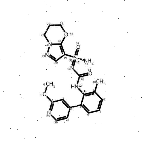 COc1cc(-c2cccc(C)c2NC(=O)N=[S@@](N)(=O)c2cnn3c2OCCC3)ccn1